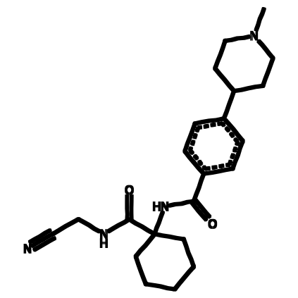 CN1CCC(c2ccc(C(=O)NC3(C(=O)NCC#N)CCCCC3)cc2)CC1